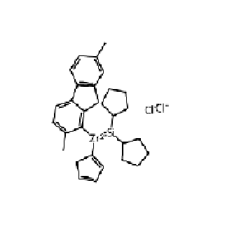 Cc1ccc2c(c1)Cc1c-2ccc(C)[c]1[Zr+2]([C]1=CC=CC1)=[Si](C1CCCC1)C1CCCC1.[Cl-].[Cl-]